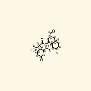 CCC(C)(C)C(=O)O[C@H]1C[C@@H](C=O)C[C@@H]2CC[C@H](C)[C@H](CC[C@@H]3C[C@@H](O)CC(=O)O3)[C@H]21